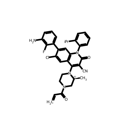 C=CC(=O)N1CCN(c2c(C#N)c(=O)n(-c3ccccc3C(C)C)c3cc(-c4cccc(N)c4F)c(Cl)cc23)[C@@H](C)C1